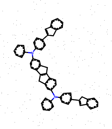 C1=C(c2ccc(N(c3ccccc3)c3ccc4c(c3)CC3=C4Cc4cc(N(c5ccccc5)c5ccc(C6=Cc7ccccc7C6)cc5)ccc43)cc2)Cc2ccccc21